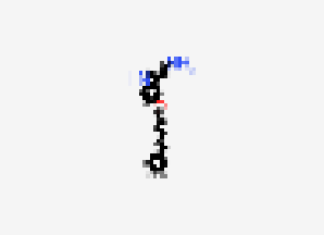 NCCc1c[nH]c2ccc(OCCCCCCc3ccccc3)cc12